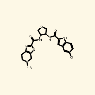 CN1CCc2nc(C(=O)N[C@H]3COC[C@H]3NC(=O)c3cc4cc(Cl)ccc4[nH]3)sc2C1